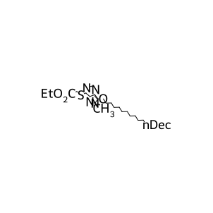 CCCCCCCCCCCCCCCCCCCCOc1c2ncnc(SCC(=O)OCC)c2nn1C